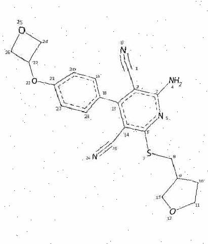 N#Cc1c(N)nc(SCC2CCOC2)c(C#N)c1-c1ccc(OC2COC2)cc1